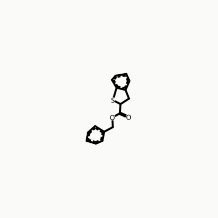 O=C(OCc1ccccc1)C1Cc2ccccc2S1